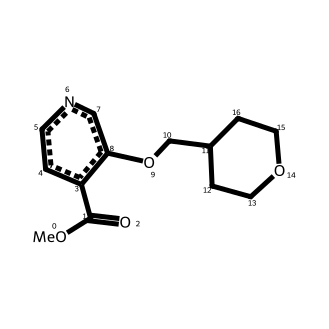 COC(=O)c1ccncc1OCC1CCOCC1